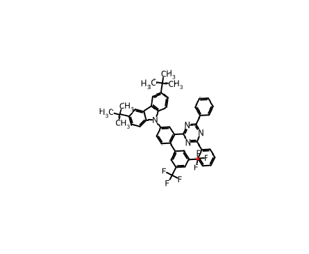 CC(C)(C)c1ccc2c(c1)c1cc(C(C)(C)C)ccc1n2-c1ccc(-c2cc(C(F)(F)F)cc(C(F)(F)F)c2)c(-c2nc(-c3ccccc3)nc(-c3ccccc3)n2)c1